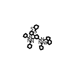 c1ccc(-c2nc(-c3ccccc3)nc(-c3cc(C4=NC(c5ccccc5)NC(c5cccc6ccccc56)=N4)ccc3-c3cccc4c3Sc3ccccc3S4)n2)cc1